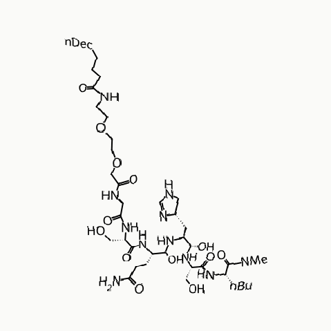 CCCCCCCCCCCCCC(=O)NCCOCCOCC(=O)NCC(=O)N[C@@H](CO)C(=O)N[C@@H](CCC(N)=O)[C@H](O)N[C@@H](C[C@H]1CNC=N1)[C@H](O)N[C@@H](CO)C(=O)N[C@@H](CCCC)C(=O)NC